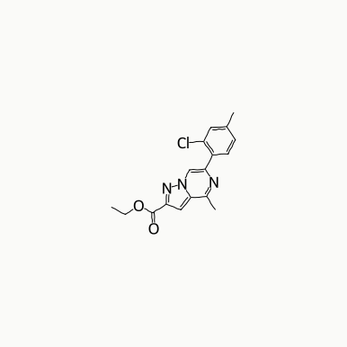 CCOC(=O)c1cc2c(C)nc(-c3ccc(C)cc3Cl)cn2n1